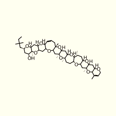 CCC(C)(C)C[C@@H]1C[C@H](O)[C@]2(C)OC3CC4OC5C[C@]6(C)O[C@]7(C)CCC8OC9C[C@]%10(C)OC%11C(C)=CCO[C@H]%11C[C@H]%10O[C@H]9C[C@@H](C)[C@H]8O[C@H]7C[C@H]6O[C@@]5(C)C/C=C\[C@H]4O[C@H]3C[C@H]2O1